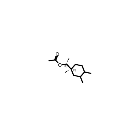 CC(=O)O[C@H](C)[C@@]1(C)CCC(C)C(C)C1